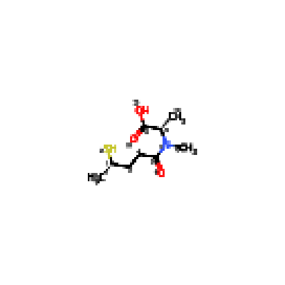 C[C@H](S)CCC(=O)N(C)[C@@H](C)C(=O)O